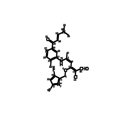 C/C(=C/C(OCC1=[N+]=C(F)C=C1F)=C(/Cl)C=O)Nc1cc(C(=O)/C=C/N(C)C)ncc1C